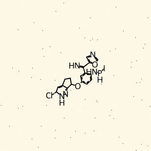 N=C(c1cnco1)c1cc(OC2CCC3=CC(Cl)NN=C32)ccc1NPI